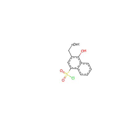 CCCCCCCCCCCc1cc(S(=O)(=O)Cl)c2ccccc2c1O